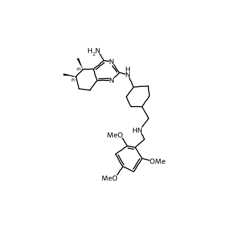 COc1cc(OC)c(CNCC2CCC(Nc3nc(N)c4c(n3)CC[C@@H](C)[C@H]4C)CC2)c(OC)c1